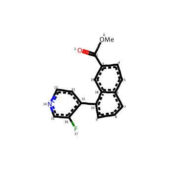 COC(=O)c1ccc2cccc(-c3ccncc3F)c2c1